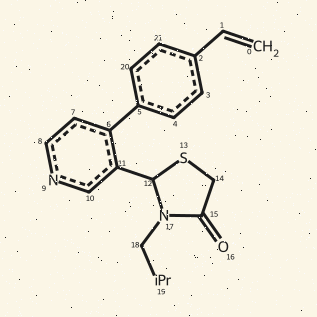 C=Cc1ccc(-c2ccncc2C2SCC(=O)N2CC(C)C)cc1